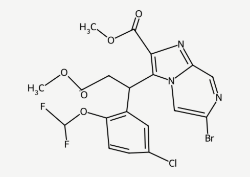 COC(=O)CC(c1cc(Cl)ccc1OC(F)F)c1c(C(=O)OC)nc2cnc(Br)cn12